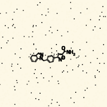 NC(=O)c1cc(-c2ccc(Cn3ncc4ccccc43)cc2)no1